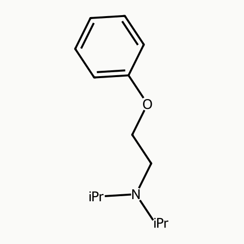 CC(C)N(CCOc1ccccc1)C(C)C